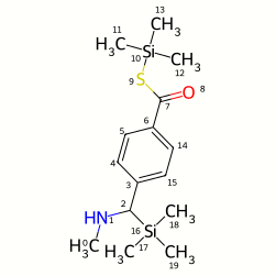 CNC(c1ccc(C(=O)S[Si](C)(C)C)cc1)[Si](C)(C)C